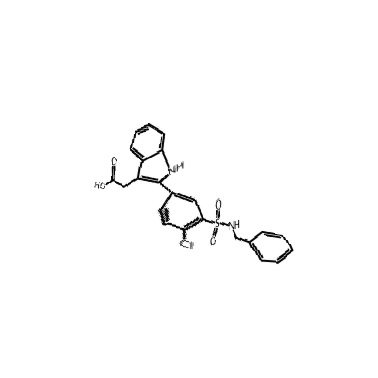 O=C(O)Cc1c(-c2ccc(Cl)c(S(=O)(=O)NCc3ccccc3)c2)[nH]c2ccccc12